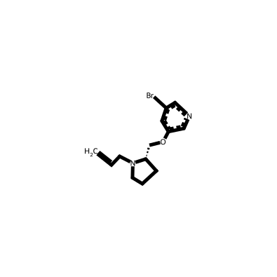 C=CCN1CCC[C@H]1COc1cncc(Br)c1